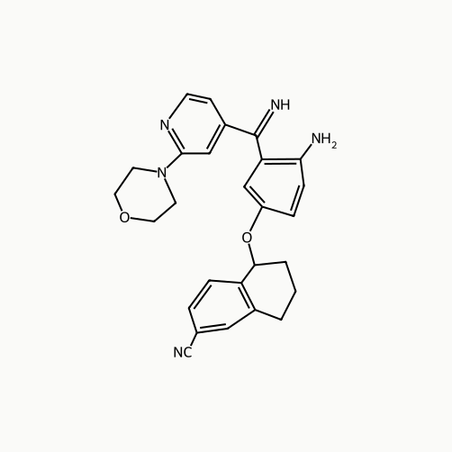 N#Cc1ccc2c(c1)CCCC2Oc1ccc(N)c(C(=N)c2ccnc(N3CCOCC3)c2)c1